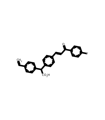 C=Cc1ccc(C(C(=O)O)c2ccc(C=CC(=O)c3ccc(F)cc3)cc2)cc1